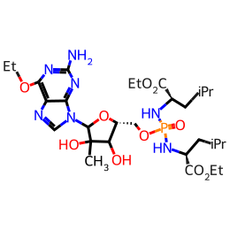 CCOC(=O)[C@H](CC(C)C)NP(=O)(N[C@H](CC(C)C)C(=O)OCC)OC[C@H]1OC(n2cnc3c(OCC)nc(N)nc32)C(C)(O)C1O